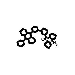 Cc1ccccc1P(=O)(c1ccccc1)c1cccc(-c2cccc(-c3c4ccccc4c(-c4ccccc4)c4ccccc34)c2)c1